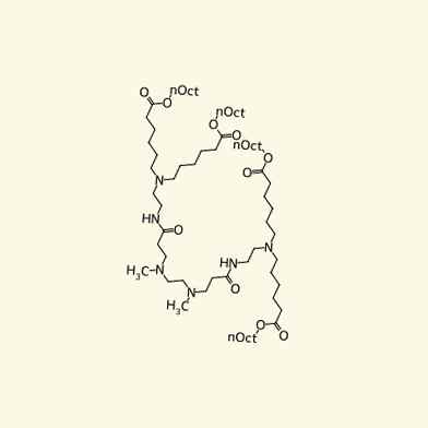 CCCCCCCCOC(=O)CCCCCN(CCCCCC(=O)OCCCCCCCC)CCNC(=O)CCN(C)CCN(C)CCC(=O)NCCN(CCCCCC(=O)OCCCCCCCC)CCCCCC(=O)OCCCCCCCC